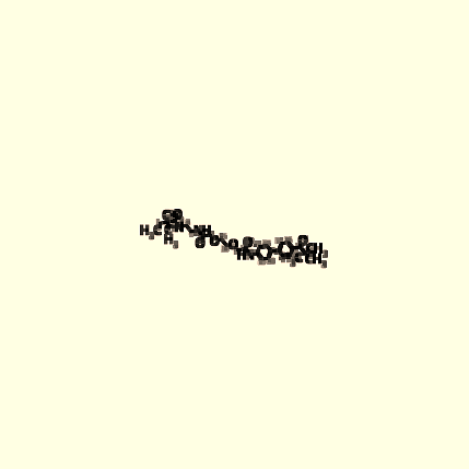 CCC(C)(C)C(=O)NCCNC(=O)COCCOCC(=O)Nc1ccc(-c2ccc(C(=O)C(C)(C)C)cc2)cc1